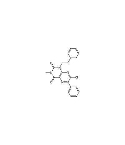 Cn1c(=O)c2nc(-c3ccccc3)c(Cl)nc2n(CCc2ccccc2)c1=O